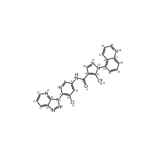 O=C(Nc1cnc(-n2nnc3cccnc32)c(Cl)c1)c1cnn(-c2cccc3ncccc23)c1C(F)(F)F